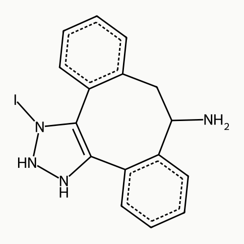 NC1Cc2ccccc2C2=C(NNN2I)c2ccccc21